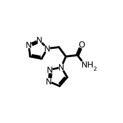 NC(=O)C(Cn1ccnn1)n1ccnn1